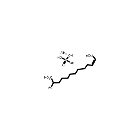 CCCCCCCC/C=C\CCCCCCCCC(C(C)=O)C(=O)O.O=P(O)(O)O.[AlH3]